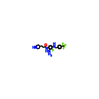 Nc1c(NC(=O)CCC2CCNCC2)ccc(NCc2ccc(C(F)(F)F)cc2)c1F